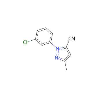 Cc1cc(C#N)n(-c2cccc(Cl)c2)n1